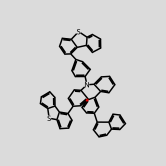 c1cc(-c2ccccc2N(c2ccc(-c3cccc4sc5ccccc5c34)cc2)c2ccc(-c3cccc4sc5ccccc5c34)cc2)cc(-c2cccc3ccccc23)c1